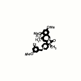 CCc1cc(CN2CCC3(CC2)C2=CC(C)(C)c4c(cc(OC)cc4OC)CN2C(=O)N3C)cc(OC)c1